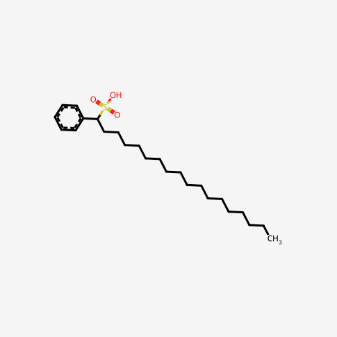 CCCCCCCCCCCCCCCCCC(c1ccccc1)S(=O)(=O)O